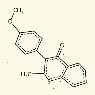 COc1ccc(-c2c(C)sc3ccccc3c2=O)cc1